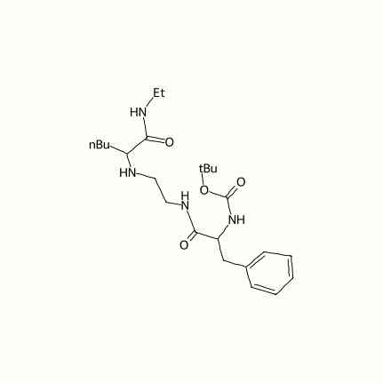 CCCCC(NCCNC(=O)C(Cc1ccccc1)NC(=O)OC(C)(C)C)C(=O)NCC